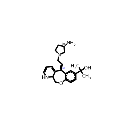 CC(C)(O)c1ccc2c(c1)/C(=C/CN1CC[C@@H](N)C1)C1=CC=CNC1CO2